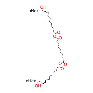 CCCCCC[C@@H](O)C/C=C\CCCCCCCC(=O)OC(=O)CCCCCCCCC(=O)OC(=O)CCCCCCC/C=C\C[C@H](O)CCCCCC